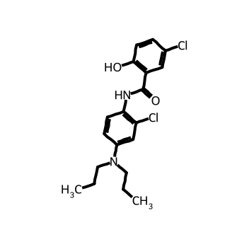 CCCN(CCC)c1ccc(NC(=O)c2cc(Cl)ccc2O)c(Cl)c1